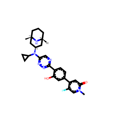 Cn1cc(F)c(-c2ccc(-c3ncc(N(C4CC4)[C@@H]4C[C@H]5CCC[C@@](C)(C4)N5)nn3)c(O)c2)cc1=O